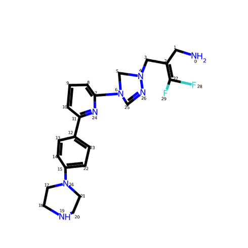 NCC(CN1CN(c2cccc(-c3ccc(N4CCNCC4)cc3)n2)C=N1)=C(F)F